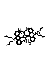 CCCCN(CCCC)c1c2cccc(N)c2c(C2=C([O-])C(=C3c4ccccc4C(=[N+](CCCC)CCCC)c4ccccc43)C2=C(C#N)C#N)c2c(N)cccc12